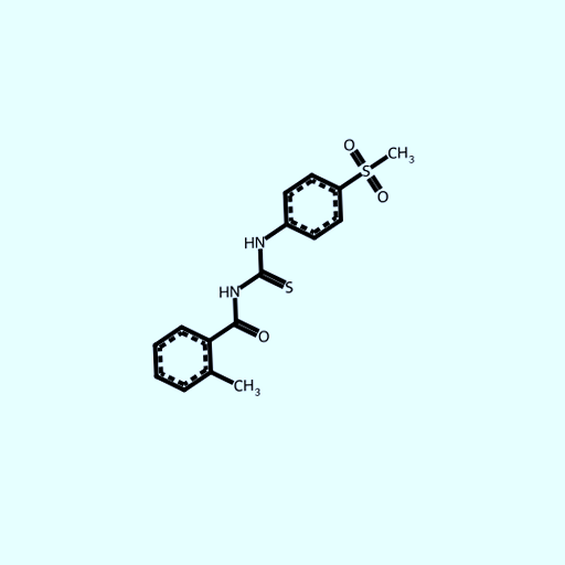 Cc1ccccc1C(=O)NC(=S)Nc1ccc(S(C)(=O)=O)cc1